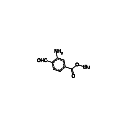 CC(C)(C)OC(=O)c1ccc(C=O)c(N)c1